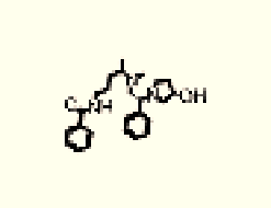 CC(CCCNC(=O)c1ccccc1)N(C)C[C@H](c1ccccc1)N1CC[C@H](O)C1